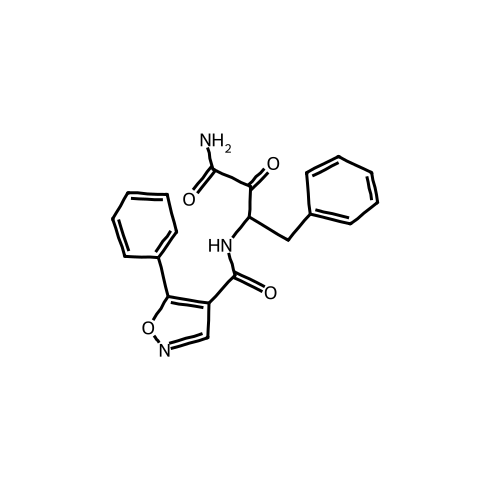 NC(=O)C(=O)C(Cc1ccccc1)NC(=O)c1cnoc1-c1ccccc1